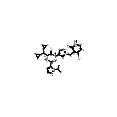 CC(C)n1nccc1C(=O)N[C@H](C(=O)Nc1cnn(Cc2c(F)cc[nH]c2=O)c1)C(C1CC1)C1CC1